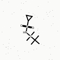 CC(C)(C)S(C)(C)NS(=O)(=O)C1CC1